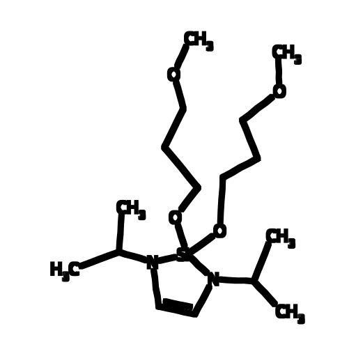 COCCCO[Si]1(OCCCOC)N(C(C)C)C=CN1C(C)C